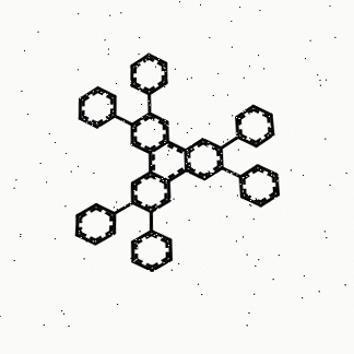 c1ccc(-c2cc3c4cc(-c5ccccc5)c(-c5ccccc5)cc4c4cc(-c5ccccc5)c(-c5ccccc5)cc4c3cc2-c2ccccc2)cc1